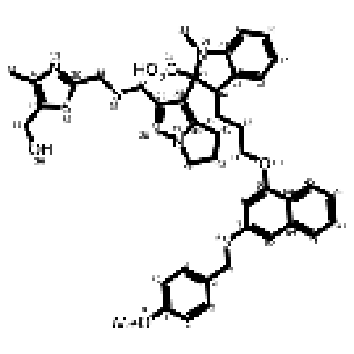 COc1ccc(CSc2cc(OCCCC3c4ccccc4N(C)C3(C(=O)O)c3c(CSCc4nc(C)c(CO)s4)nn4c3CCC4)c3ccccc3c2)cc1